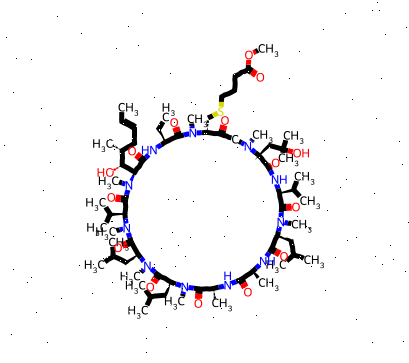 C/C=C/C[C@@H](C)[C@@H](O)[C@H]1C(=O)N[C@@H](CC)C(=O)N(C)[C@H](CSCCCC(=O)OC)C(=O)CN(C)[C@@H](CC(C)(C)O)C(=O)N[C@@H](C(C)C)C(=O)N(C)[C@@H](CC(C)C)C(=O)N[C@@H](C)C(=O)N[C@H](C)C(=O)N(C)[C@@H](CC(C)C)C(=O)N(C)[C@@H](CC(C)C)C(=O)N(C)[C@@H](C(C)C)C(=O)N1C